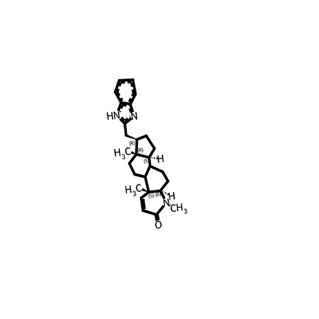 CN1C(=O)C=C[C@]2(C)C3CC[C@]4(C)[C@@H](Cc5nc6ccccc6[nH]5)CC[C@H]4C3CC[C@@H]12